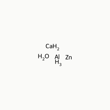 O.[AlH3].[CaH2].[Zn]